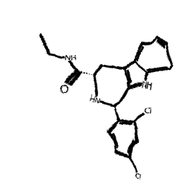 CCNC(=O)[C@@H]1Cc2c([nH]c3ccccc23)[C@@H](c2ccc(Cl)cc2Cl)N1